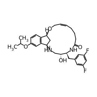 CC(C)Oc1ccc2c(c1)[C@@H]1C[C@H]2OC/C=C\CCCC(=O)N[C@@H](Cc2cc(F)cc(F)c2)[C@H](O)CN1